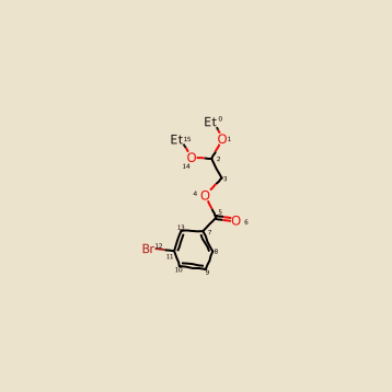 CCOC(COC(=O)c1cccc(Br)c1)OCC